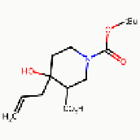 C=CCC1(O)CCN(C(=O)OC(C)(C)C)CC1C(=O)O